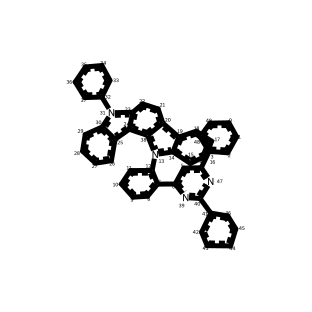 c1ccc(-c2cc(-c3ccccc3-n3c4ccccc4c4ccc5c(c6ccccc6n5-c5ccccc5)c43)nc(-c3ccccc3)n2)cc1